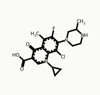 Cc1c(F)c(N2CCNC(C)C2)c(Cl)c2c1c(=O)c(C(=O)O)cn2C1CC1